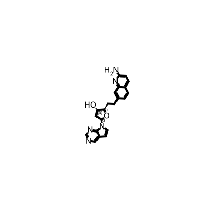 Nc1ccc2ccc(CC[C@H]3O[C@@H](n4ccc5cncnc54)C[C@@H]3O)cc2n1